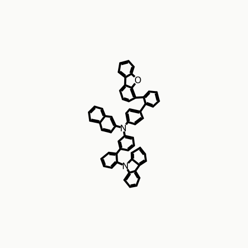 c1cc(-c2ccccc2-n2c3ccccc3c3ccccc32)cc(N(c2ccc(-c3ccccc3-c3cccc4c3oc3ccccc34)cc2)c2ccc3ccccc3c2)c1